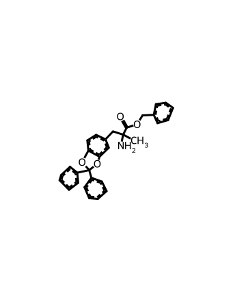 CC(N)(Cc1ccc2c(c1)OC(c1ccccc1)(c1ccccc1)O2)C(=O)OCc1ccccc1